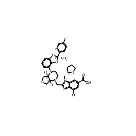 C[C@@]1(c2ccc(Cl)cn2)Oc2cccc(N3CCN(Cc4nc5c(Cl)cc(C(=O)O)cc5n4C[C@@H]4CCCO4)[C@@H]4COC[C@@H]43)c2O1